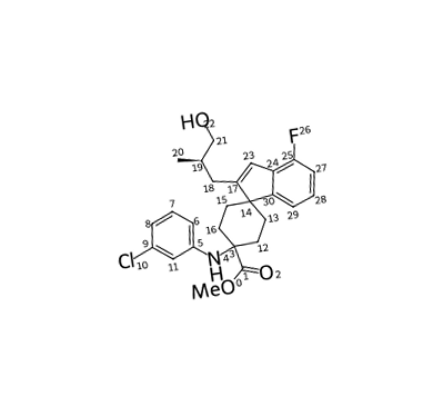 COC(=O)C1(Nc2cccc(Cl)c2)CCC2(CC1)C(C[C@@H](C)CO)=Cc1c(F)cccc12